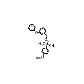 CCC(C)Oc1ccc(C(C)(C)COCc2cccc(Oc3ccccc3)c2)cc1